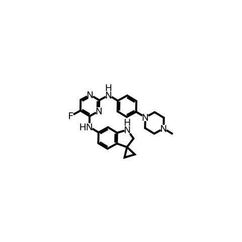 CN1CCN(c2ccc(Nc3ncc(F)c(Nc4ccc5c(c4)NCC54CC4)n3)cc2)CC1